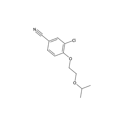 CC(C)OCCOc1ccc(C#N)cc1Cl